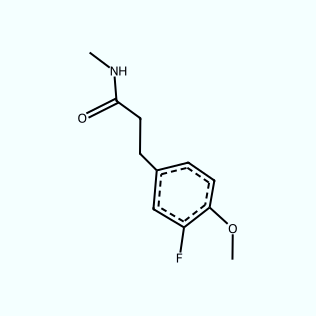 CNC(=O)CCc1ccc(OC)c(F)c1